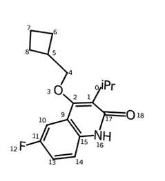 CC(C)c1c(OCC2CCC2)c2cc(F)ccc2[nH]c1=O